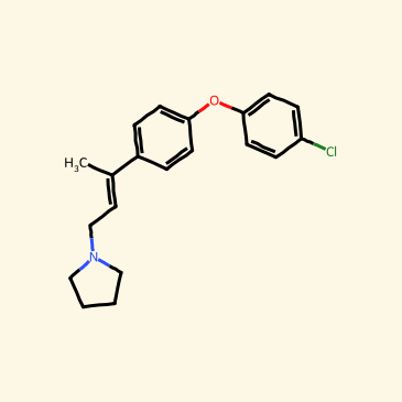 CC(=CCN1CCCC1)c1ccc(Oc2ccc(Cl)cc2)cc1